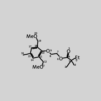 CCC(C)(C)C(=O)OCCOc1c(COC)cc(C)cc1COC